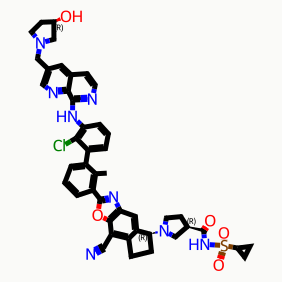 Cc1c(-c2nc3cc4c(c(C#N)c3o2)CC[C@H]4N2CC[C@@H](C(=O)NS(=O)(=O)C3CC3)C2)cccc1-c1cccc(Nc2nccc3cc(CN4CC[C@@H](O)C4)cnc23)c1Cl